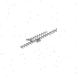 CCCCCCCCCCCCCCCC(=O)O.CCCCCCCCCCCCCCCCCC(=O)OC(=O)CCCCCCCCCCCCCCC